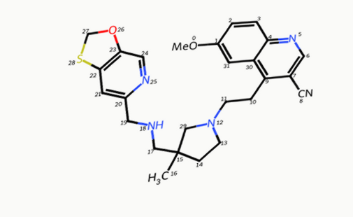 COc1ccc2ncc(C#N)c(CCN3CCC(C)(CNCc4cc5c(cn4)OCS5)C3)c2c1